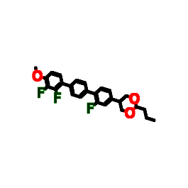 CCCC1OCC(c2ccc(-c3ccc(-c4ccc(OC)c(F)c4F)cc3)c(F)c2)CO1